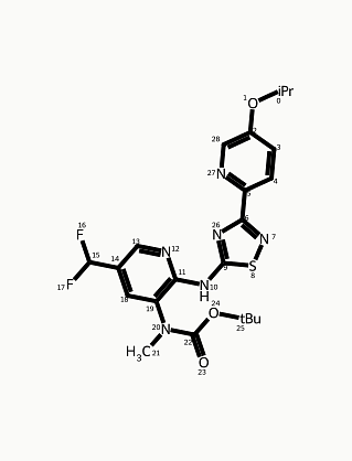 CC(C)Oc1ccc(-c2nsc(Nc3ncc(C(F)F)cc3N(C)C(=O)OC(C)(C)C)n2)nc1